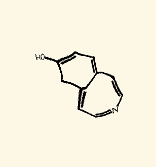 OC1=CC=C2C=CN=CC=C2C1